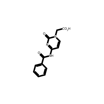 O=C(O)Cn1ccc(NC(=O)c2ccccc2)nc1=O